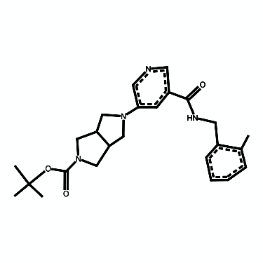 Cc1ccccc1CNC(=O)c1cncc(N2CC3CN(C(=O)OC(C)(C)C)CC3C2)c1